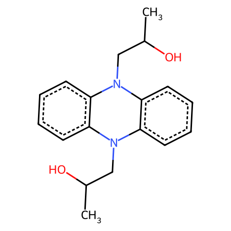 CC(O)CN1c2ccccc2N(CC(C)O)c2ccccc21